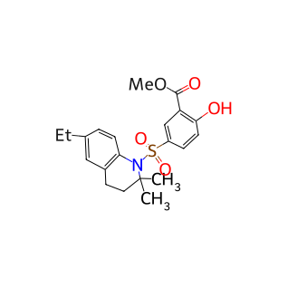 CCc1ccc2c(c1)CCC(C)(C)N2S(=O)(=O)c1ccc(O)c(C(=O)OC)c1